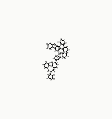 CC1c2ccc(-c3ccc4c(c3)c3ccccc3n4-c3cc(-c4ccccc4-c4ccccc4)c4sc5ccccc5c4c3)cc2-c2ccccc2CC1c1ccccc1